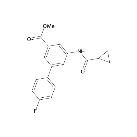 COC(=O)c1cc(NC(=O)C2CC2)cc(-c2ccc(F)cc2)c1